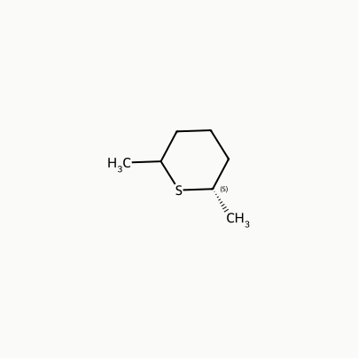 CC1CCC[C@H](C)S1